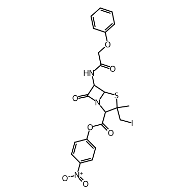 CC1(CI)SC2C(NC(=O)COc3ccccc3)C(=O)N2C1C(=O)Oc1ccc([N+](=O)[O-])cc1